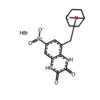 Br.O=c1[nH]c2cc([N+](=O)[O-])cc(CN3CC4CCC(CC4)C3)c2[nH]c1=O